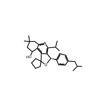 CC(C)Cc1ccc([C@H]2OC3(CCCC3)c3c4c(nc(C(C)C)c32)CC(C)(C)CC4O)cc1